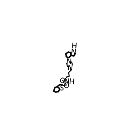 O=S(=O)(NCCCCN1CCN(c2cccc3[nH]ccc23)CC1)c1cc2ccccc2s1